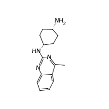 Cc1nc(N[C@H]2CC[C@@H](N)CC2)nc2ccccc12